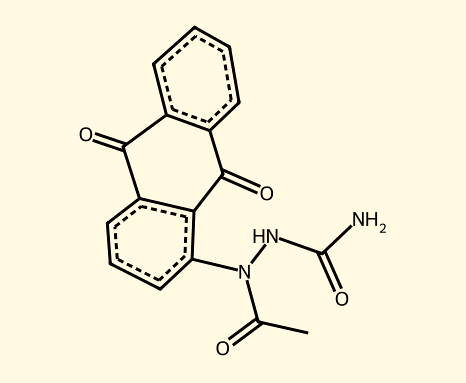 CC(=O)N(NC(N)=O)c1cccc2c1C(=O)c1ccccc1C2=O